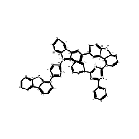 c1ccc(-c2nc(-c3ccccc3)nc(-c3cccc4oc5ccc(-c6ccc7c(c6)c6ccccc6n7-c6ccc(-c7cccc8c7oc7ccccc78)cc6)cc5c34)n2)cc1